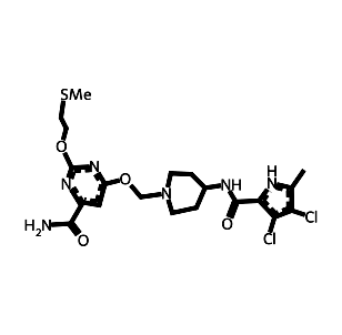 CSCCOc1nc(OCN2CCC(NC(=O)c3[nH]c(C)c(Cl)c3Cl)CC2)cc(C(N)=O)n1